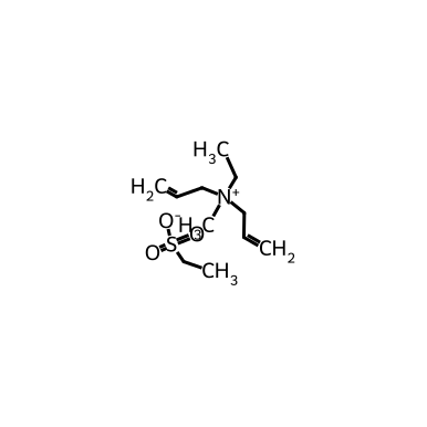 C=CC[N+](C)(CC)CC=C.CCS(=O)(=O)[O-]